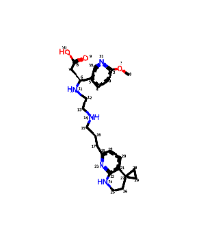 COc1ccc([C@H](CC(=O)O)NCCNCCCc2ccc3c(n2)NCCC32CC2)cn1